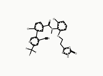 CN(C(=O)c1ccc(Cl)c(-c2cnc(C(F)(F)F)cc2C#N)c1)c1c(Cl)cccc1OCCc1n[nH]c(=O)o1